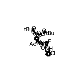 CC(=O)c1nn(CC(=O)N2C[C@H](F)C[C@H]2C(=O)NCc2cccc(Cl)c2F)c2cc(P(=O)(OCOC(=O)C(C)(C)C)OCOC(=O)C(C)(C)C)ccc12